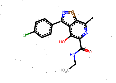 Cc1nc(C(=O)NCC(=O)O)c(O)c2c(-c3ccc(Cl)cc3)nsc12